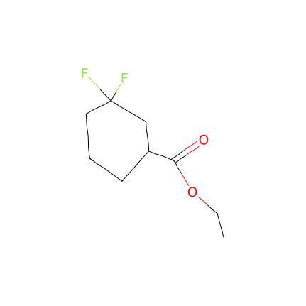 CCOC(=O)C1CCCC(F)(F)C1